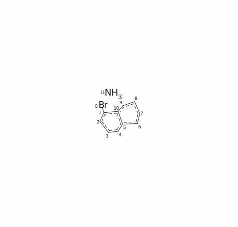 Brc1cccc2ccccc12.N